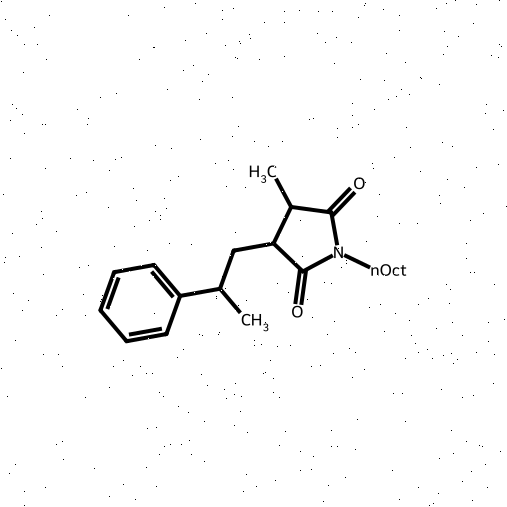 CCCCCCCCN1C(=O)C(C)C(CC(C)c2ccccc2)C1=O